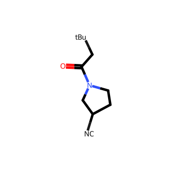 [C-]#[N+]C1CCN(C(=O)CC(C)(C)C)C1